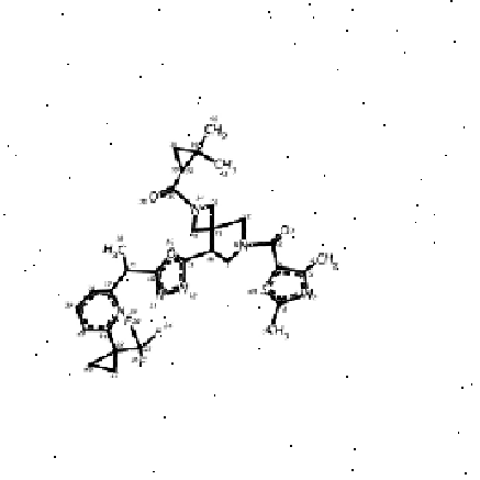 Cc1nc(C)c(C(=O)N2CC(c3nnc(C(C)c4cccc(C5(C(F)(F)F)CC5)n4)o3)C3(C2)CN(C(=O)[C@H]2CC2(C)C)C3)s1